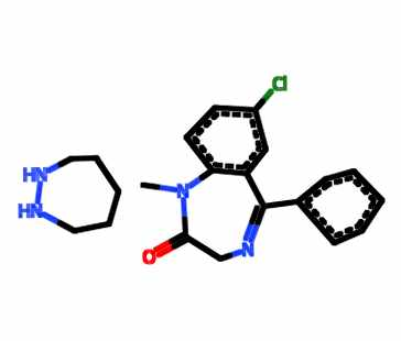 C1CCNNCC1.CN1C(=O)CN=C(c2ccccc2)c2cc(Cl)ccc21